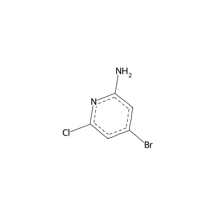 Nc1cc(Br)cc(Cl)n1